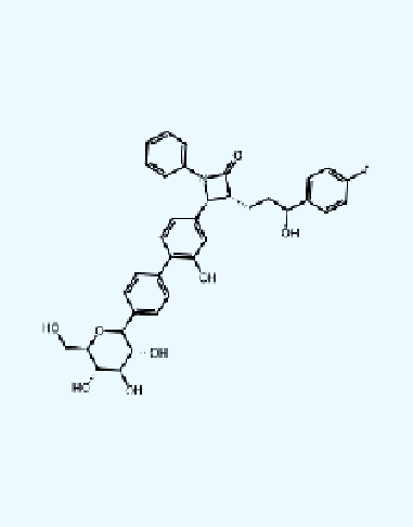 O=C1[C@H](CC[C@H](O)c2ccc(F)cc2)[C@@H](c2ccc(-c3ccc([C@@H]4O[C@H](CO)[C@@H](O)[C@H](O)[C@H]4O)cc3)c(O)c2)N1c1ccccc1